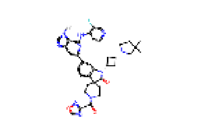 CC(C)n1cnc2cc(-c3ccc4c(c3)N([C@H]3C[C@@H](N5CCC(C)(C)C5)C3)C(=O)C43CCN(C(=O)c4ncon4)CC3)nc(Nc3ccncc3F)c21